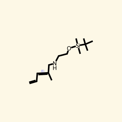 C=C/C=C(\C)CNCCO[Si](C)(C)C(C)(C)C